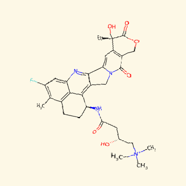 CC[C@@]1(O)C(=O)OCc2c1cc1n(c2=O)Cc2c-1nc1cc(F)c(C)c3c1c2[C@@H](NC(=O)C[C@@H](O)C[N+](C)(C)C)CC3